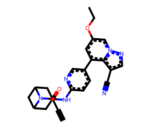 C#CC(=O)N1C2CC(Nc3ccc(-c4cc(OCC)cn5ncc(C#N)c45)cn3)CC1C2